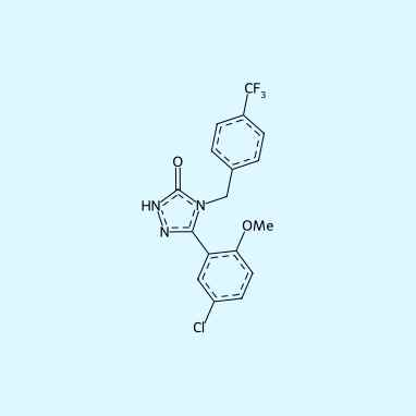 COc1ccc(Cl)cc1-c1n[nH]c(=O)n1Cc1ccc(C(F)(F)F)cc1